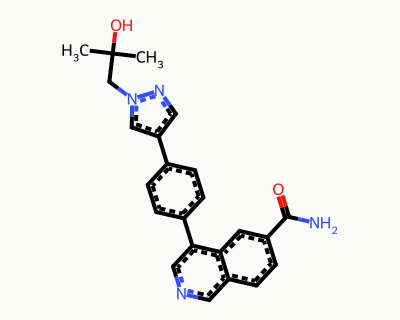 CC(C)(O)Cn1cc(-c2ccc(-c3cncc4ccc(C(N)=O)cc34)cc2)cn1